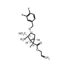 C=CCOC(=O)[C@@]1(F)[C@@H]2C[C@@H](OCc3ccc(F)c(F)c3)[C@@](N)(C(=O)O)[C@@H]21